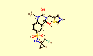 CN1c2ccc(S(=O)(=O)NC3(CF)CC3)cc2C(=O)N(Cc2cncs2)C1O